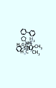 CC1=C(C)C(C)[C]([Ti]([CH3])([NH]C2CCCC2)[SiH2]c2ccccc2)=C1C.c1ccc(-c2ccccc2)cc1